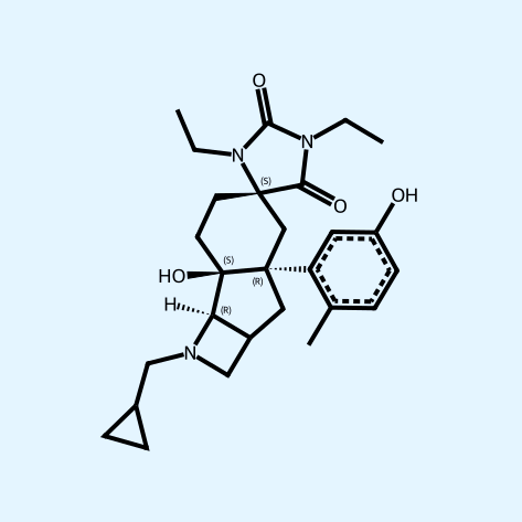 CCN1C(=O)N(CC)[C@]2(CC[C@@]3(O)[C@H]4C(CN4CC4CC4)C[C@]3(c3cc(O)ccc3C)C2)C1=O